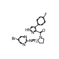 O=C(c1n[nH]cc1-c1ccc(F)cc1)N1CCC[C@H]1CNc1ncc(Br)cn1